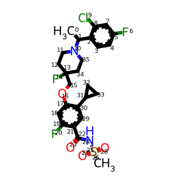 CC(c1ccc(F)cc1Cl)N1CCC(F)(COc2cc(F)c(C(=O)NS(C)(=O)=O)cc2C2CC2)CC1